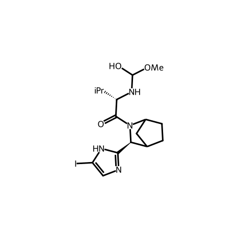 COC(O)N[C@H](C(=O)N1C2CCC(C2)[C@H]1c1ncc(I)[nH]1)C(C)C